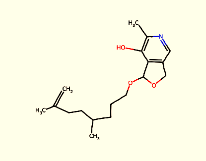 C=C(C)CCC(C)CCCOC1OCc2cnc(C)c(O)c21